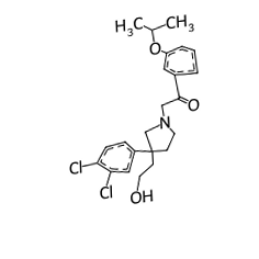 CC(C)Oc1cccc(C(=O)CN2CCC(CCO)(c3ccc(Cl)c(Cl)c3)C2)c1